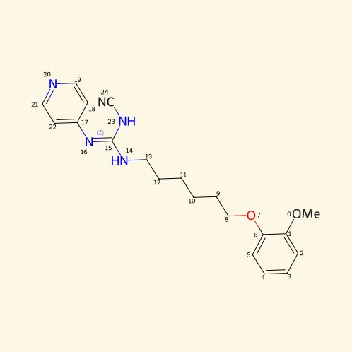 COc1ccccc1OCCCCCCN/C(=N/c1ccncc1)NC#N